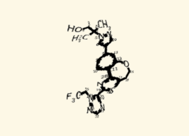 CC(C)(CO)n1cc(-c2ccc3c(c2)OCCc2sc(-c4ncnn4CC(F)(F)F)nc2-3)cn1